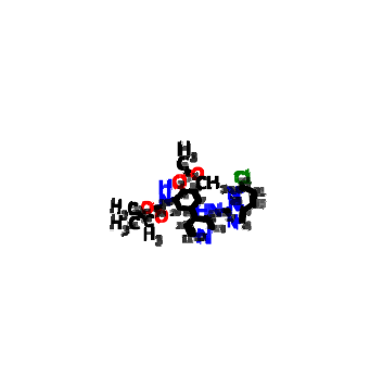 CC(=O)OC1C(C)CC(c2ccncc2Nc2ncc3ccc(Cl)nn23)CC1NC(=O)OC(C)(C)C